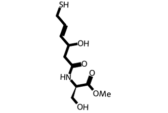 COC(=O)[C@@H](CO)NC(=O)CC(O)/C=C/CS